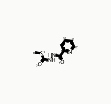 CSC(=O)NNC(=O)c1ccccn1